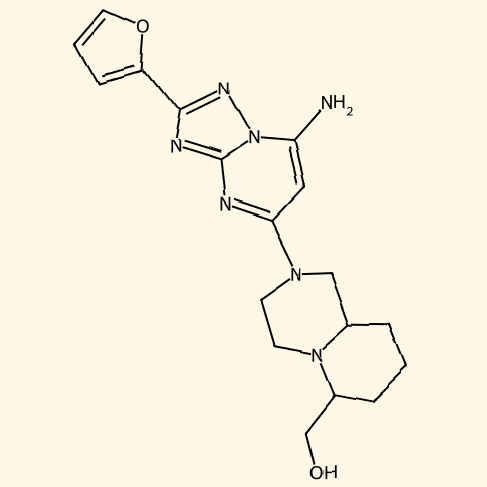 Nc1cc(N2CCN3C(CO)CCCC3C2)nc2nc(-c3ccco3)nn12